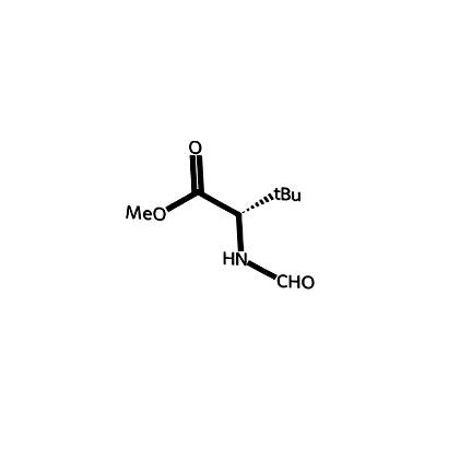 COC(=O)[C@@H](NC=O)C(C)(C)C